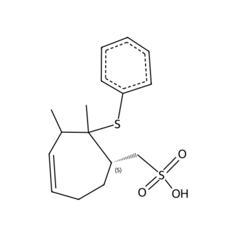 CC1C=CCC[C@@H](CS(=O)(=O)O)C1(C)Sc1ccccc1